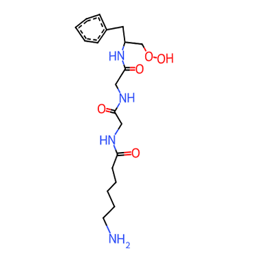 NCCCCCC(=O)NCC(=O)NCC(=O)NC(COO)Cc1ccccc1